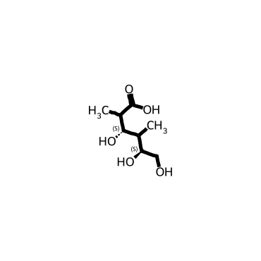 CC(C(=O)O)[C@@H](O)C(C)[C@H](O)CO